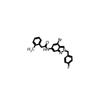 Cc1ccccc1CC(=O)Nc1cc(Br)c2cn(Cc3ccc(F)cc3)nc2c1